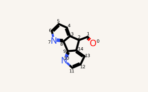 O=CC1c2cccnc2-c2ncccc21